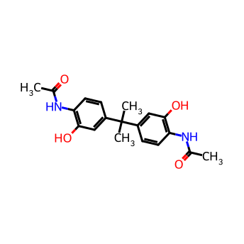 CC(=O)Nc1ccc(C(C)(C)c2ccc(NC(C)=O)c(O)c2)cc1O